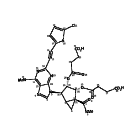 CNC(=O)[C@@]12CC1[C@@H](n1cnc3c(NC)nc(C#Cc4ccc(Cl)s4)nc31)[C@H](OC(=O)CCC(=O)O)[C@@H]2OC(=O)CCC(=O)O